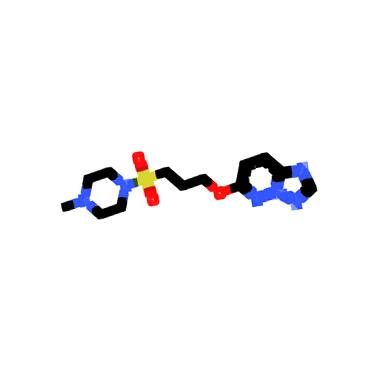 CN1CCN(S(=O)(=O)CCCOc2ccc3ncnn3n2)CC1